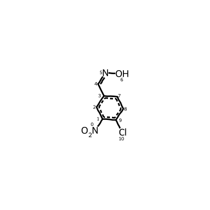 O=[N+]([O-])c1cc(/C=N\O)ccc1Cl